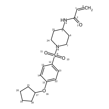 C=CC(=O)NC1CCN(S(=O)(=O)c2ccc(OC3CCCC3)cc2)CC1